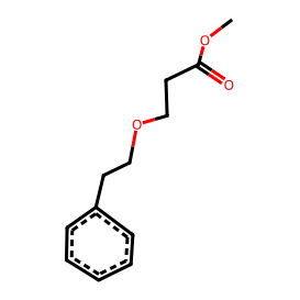 COC(=O)CCOCCc1ccccc1